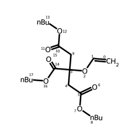 C=COC(CC(=O)OCCCC)(CC(=O)OCCCC)C(=O)OCCCC